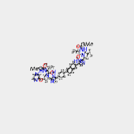 COC(=O)NC(C(=O)N1CC2(CC2)C[C@H]1c1ncc(-c2ccc3cc(-c4ccc(-c5cnc([C@@H]6C[C@H](Oc7cnccn7)CN6C(=O)[C@@H](NC(=O)OC)C(C)C)[nH]5)cc4)ccc3c2)[nH]1)C(C)C